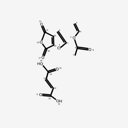 C=CCl.C=COC(C)=O.O=C(O)C=CC(=O)O.O=C1C=CC(=O)O1